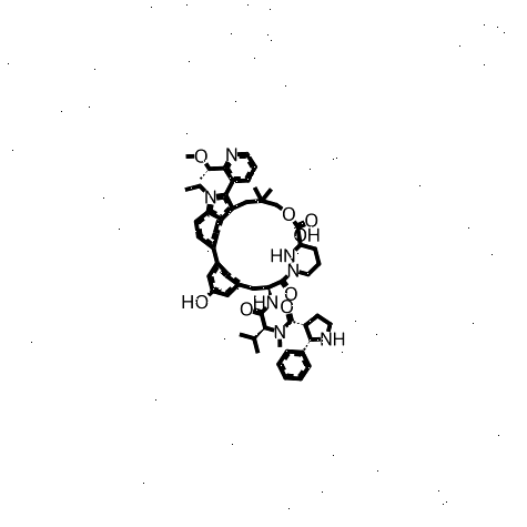 CCn1c(-c2cccnc2[C@H](C)OC)c2c3cc(ccc31)-c1cc(O)cc(c1)C[C@H](NC(=O)[C@H](C(C)C)N(C)C(=O)[C@@H]1CCN[C@@H]1c1ccccc1)C(=O)N1CCC[C@@](O)(N1)C(=O)OCC(C)(C)C2